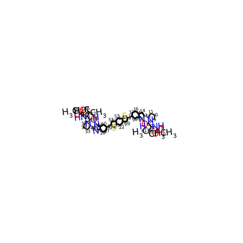 COC(=O)N[C@H](C(=O)N1CCC[C@H]1c1cc2ccc(-c3cc4cc5sc(-c6ccc7nc([C@@H]8CCCN8C(=O)[C@@H](NC(=O)OC)C(C)C)[nH]c7c6)cc5cc4s3)cc2[nH]1)C(C)C